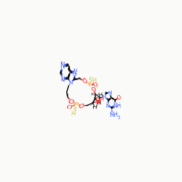 Nc1nc2c(ncn2C2O[C@@H]3COP(=O)(S)OCCCn4c(nc5cncnc54)COP(=O)(S)O[C@@H]2[C@@H]3O)c(=O)[nH]1